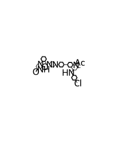 CC(=O)N1c2ccc(-c3ccc(N4CCN(Cc5ccccc5N5CCC(=O)NC5=O)CC4)cc3)cc2C(Nc2ccc(Cl)cc2)CC1C